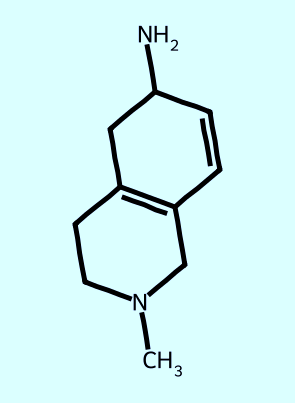 CN1CCC2=C(C=CC(N)C2)C1